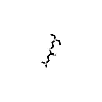 CCN(CC)CCOC(=O)CCN(C)C